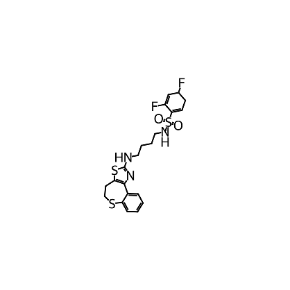 O=S(=O)(NCCCCNc1nc2c(s1)CCSc1ccccc1-2)C1=CCC(F)C=C1F